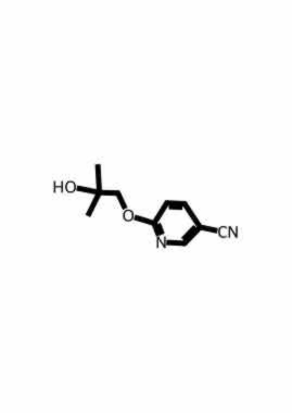 CC(C)(O)COc1ccc(C#N)cn1